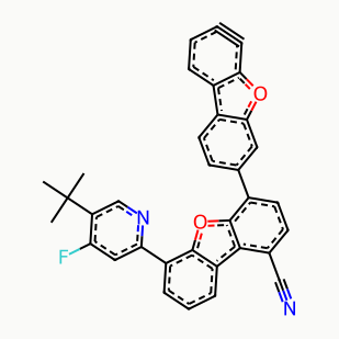 CC(C)(C)c1cnc(-c2cccc3c2oc2c(-c4ccc5c(c4)oc4c#cccc45)ccc(C#N)c23)cc1F